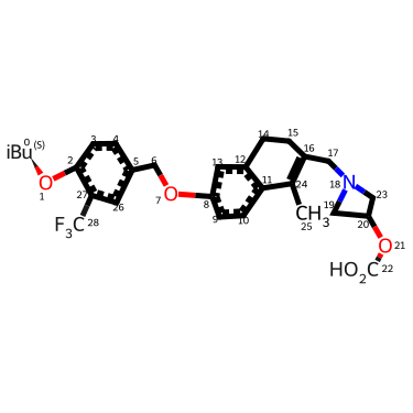 CC[C@H](C)Oc1ccc(COc2ccc3c(c2)CCC(CN2CC(OC(=O)O)C2)=C3C)cc1C(F)(F)F